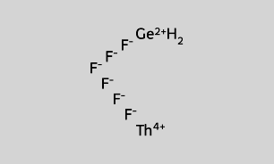 [F-].[F-].[F-].[F-].[F-].[F-].[GeH2+2].[Th+4]